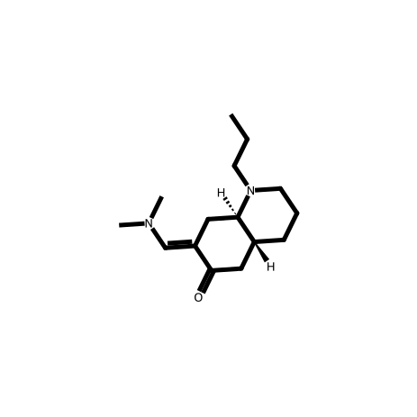 CCCN1CCC[C@@H]2CC(=O)C(=CN(C)C)C[C@H]21